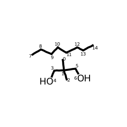 CC(C)(CO)CO.CCCCCCCC